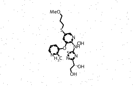 COCCCSc1cnc(Nc2nc([C@H](O)CO)ns2)c(Oc2cccnc2C)c1.Cl